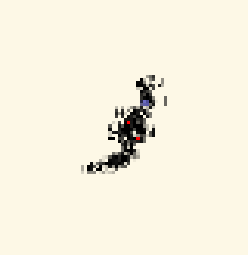 CCCCOC(=O)CN/C=C(\N=N)c1cc(O)c(C(=O)c2[nH]c(Cl)c(Cl)c2-n2c(C(=O)c3cc(Cl)c(/C(=C/NCC(=O)OCCCC)N=N)cc3O)cc(Cl)c2Cl)cc1Cl